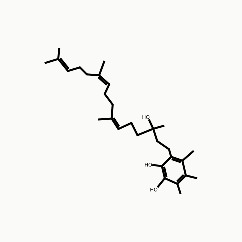 CC(C)=CCCC(C)=CCCC(C)=CCCC(C)(O)CCc1c(C)c(C)c(C)c(O)c1O